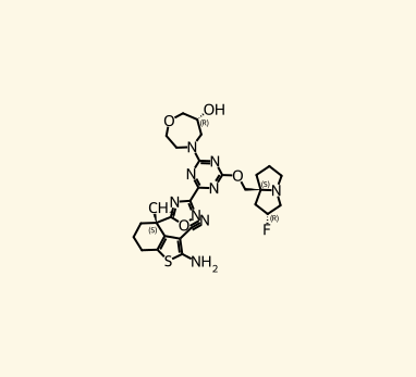 C[C@]1(c2nc(-c3nc(OC[C@@]45CCCN4C[C@H](F)C5)nc(N4CCOC[C@H](O)C4)n3)no2)CCCc2sc(N)c(C#N)c21